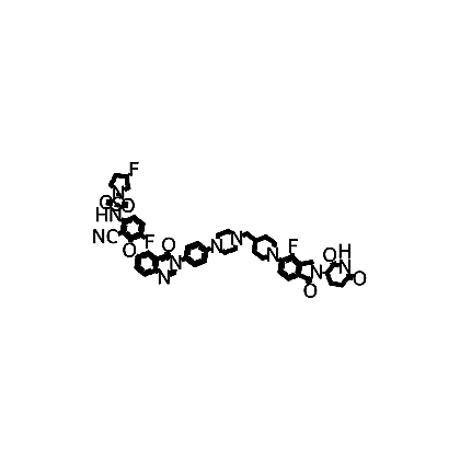 N#Cc1c(NS(=O)(=O)N2CC[C@@H](F)C2)ccc(F)c1Oc1ccc2ncn(-c3ccc(N4CCN(CC5CCN(c6ccc7c(c6F)CN([C@H]6CCC(=O)NC6=O)C7=O)CC5)CC4)cc3)c(=O)c2c1